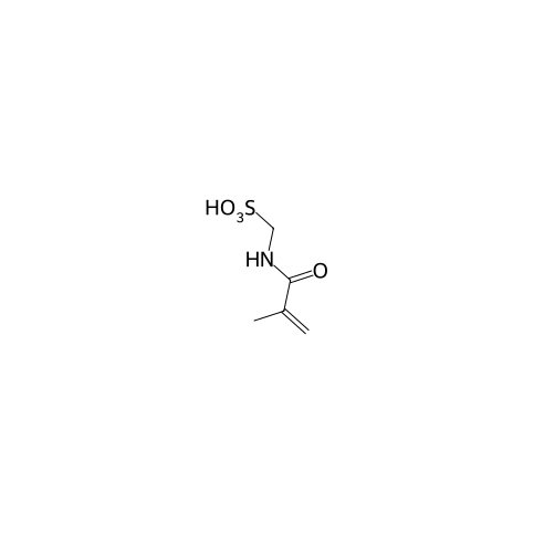 C=C(C)C(=O)NCS(=O)(=O)O